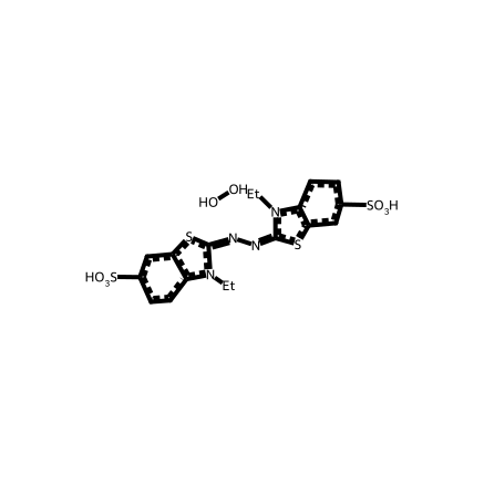 CCn1c(=NN=c2sc3cc(S(=O)(=O)O)ccc3n2CC)sc2cc(S(=O)(=O)O)ccc21.OO